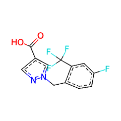 O=C(O)c1cnn(Cc2ccc(F)cc2C(F)(F)F)c1